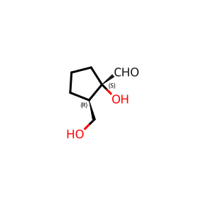 O=C[C@]1(O)CCC[C@@H]1CO